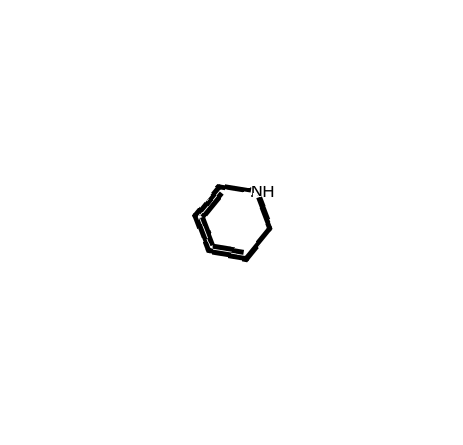 C1=C=CNCC=1